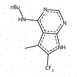 CCCCNc1ncnc2[nH]c(C(F)(F)F)c(C)c12